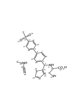 CC(C)CC(NC(c1ccc(-c2ccc(S(C)(=O)=O)cc2)cc1)c1nccs1)C(=O)O.CNC#N